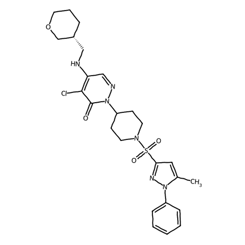 Cc1cc(S(=O)(=O)N2CCC(n3ncc(NC[C@H]4CCCOC4)c(Cl)c3=O)CC2)nn1-c1ccccc1